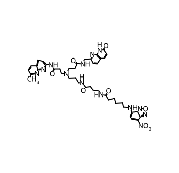 Cc1ccc2ccc(NC(=O)CCN(CCCNC(=O)CCCNC(=O)CCCCCNc3ccc([N+](=O)[O-])c4nonc34)CCC(=O)NCc3ccc4ccc(=O)[nH]c4n3)nc2n1